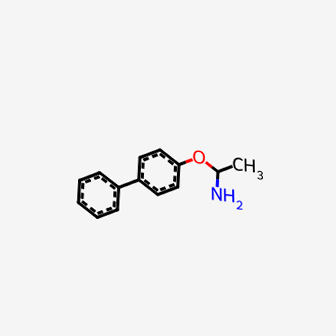 CC(N)Oc1ccc(-c2ccccc2)cc1